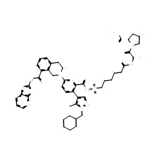 COC(=O)[C@@H]1C[C@@H](O)CN1C(=O)[C@@H](NC(=O)CCCCCS(=O)(=O)NC(=O)c1nc(N2CCc3cccc(C(=O)Nc4nc5cccnc5s4)c3C2)ccc1-c1cnn(CC2CCCCC2)c1C)C(C)(C)C